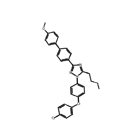 CCCCc1nc(-c2ccc(-c3ccc(OC)cc3)cc2)nn1-c1ccc(Oc2ccc(Cl)cc2)cc1